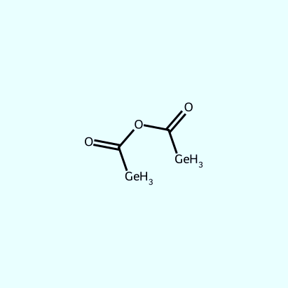 O=[C]([GeH3])O[C](=O)[GeH3]